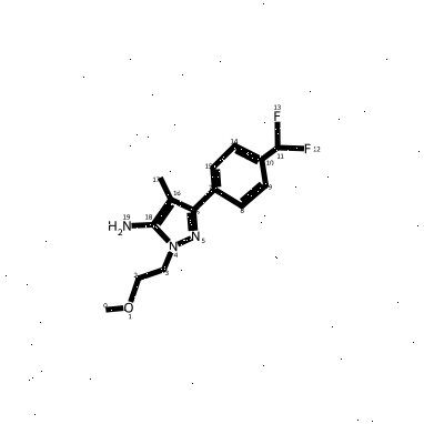 COCCn1nc(-c2ccc(C(F)F)cc2)c(C)c1N